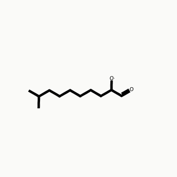 CC(C)CCCCCCC([O])C=O